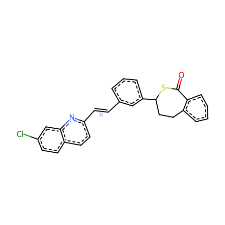 O=C1SC(c2cccc(/C=C/c3ccc4ccc(Cl)cc4n3)c2)CCc2ccccc21